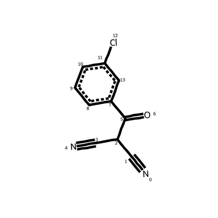 N#CC(C#N)C(=O)c1cccc(Cl)c1